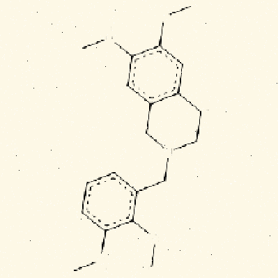 COc1cc2c(cc1OC)CN(Cc1cccc(OC)c1OC)CC2